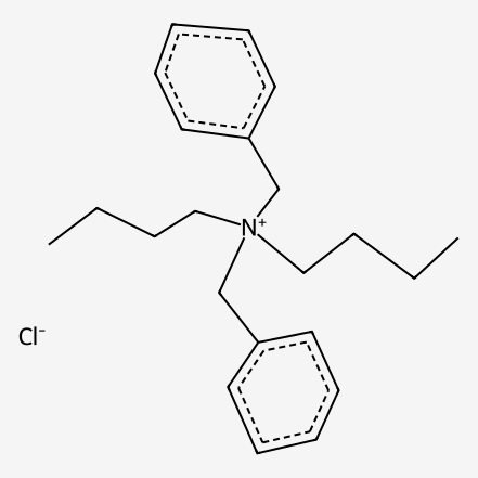 CCCC[N+](CCCC)(Cc1ccccc1)Cc1ccccc1.[Cl-]